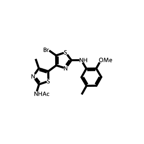 COc1ccc(C)cc1Nc1nc(-c2sc(NC(C)=O)nc2C)c(Br)s1